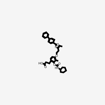 Cc1oc(-c2ccc(-c3ccccc3)cc2)nc1CCOc1ccc(CCC(=O)O)c(OC(=O)NC2CCCCC2)c1C